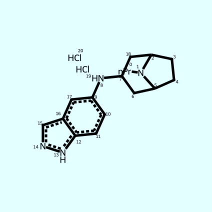 CCCN1C2CCC1CC(Nc1ccc3[nH]ncc3c1)C2.Cl.Cl